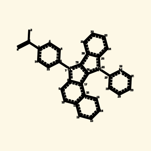 C=C(C)c1ccc(-n2c3ccc4ccccc4c3c3c2c2ccccc2n3-c2ccccn2)cc1